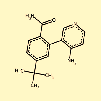 CC(C)(C)c1ccc(C(N)=O)c(-c2cnccc2N)c1